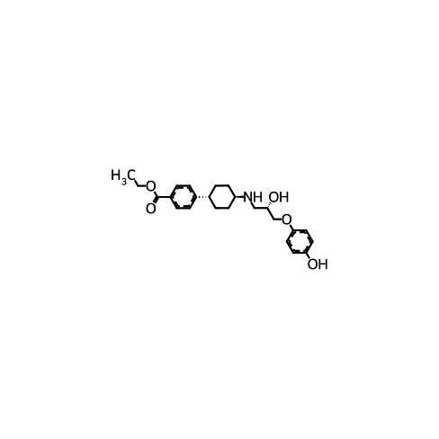 CCOC(=O)c1ccc([C@H]2CC[C@H](NC[C@H](O)COc3ccc(O)cc3)CC2)cc1